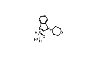 F.F.O=[SH2].c1ccc2c(c1)ncn2N1CCOCC1